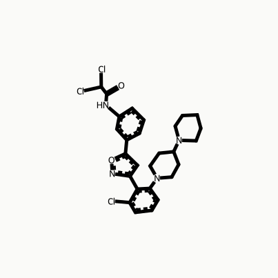 O=C(Nc1cccc(-c2cc(-c3c(Cl)cccc3N3CCC(N4CCCCC4)CC3)no2)c1)C(Cl)Cl